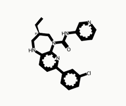 CC[C@@H]1CNc2ccc(-c3cccc(Cl)c3)nc2N(C(=O)Nc2cccnc2)C1